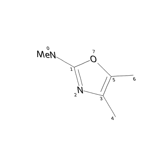 CNc1nc(C)c(C)o1